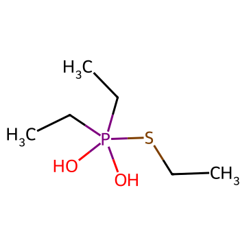 CCSP(O)(O)(CC)CC